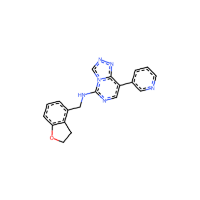 c1cncc(-c2cnc(NCc3cccc4c3CCO4)n3cnnc23)c1